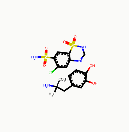 C[C@](N)(Cc1ccc(O)c(O)c1)C(=O)O.NS(=O)(=O)c1cc2c(cc1Cl)NCNS2(=O)=O